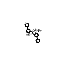 O=C(Nc1cc(-c2ccccc2)ccc1C(=O)[O-])c1cc(-c2ccncc2)ccc1O.[Na+]